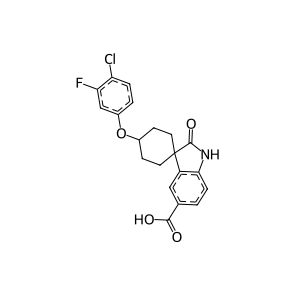 O=C(O)c1ccc2c(c1)C1(CCC(Oc3ccc(Cl)c(F)c3)CC1)C(=O)N2